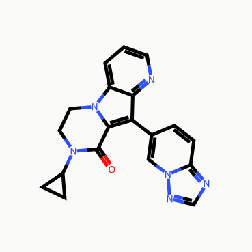 O=C1c2c(-c3ccc4ncnn4c3)c3ncccc3n2CCN1C1CC1